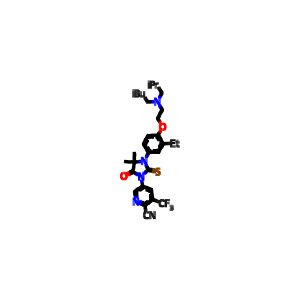 CCc1cc(N2C(=S)N(c3cnc(C#N)c(C(F)(F)F)c3)C(=O)C2(C)C)ccc1OCCN(CC(C)C)CC(C)CC